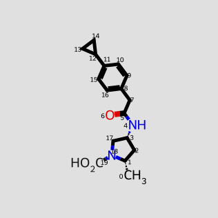 C[C@H]1C[C@@H](NC(=O)Cc2ccc(C3CC3)cc2)CN1C(=O)O